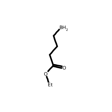 BCCCC(=O)OCC